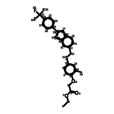 CCOC(=O)COc1ccc(SCc2ccc3cn(-c4ccc(C(F)(F)F)cc4)nc3c2)cc1C